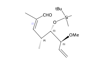 C=C[C@H](OC)[C@@H](O[Si](C)(C)C(C)(C)C)[C@H](C)/C=C(/C)C=O